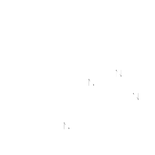 c1ccc2c(c1)cnc1cnnn12